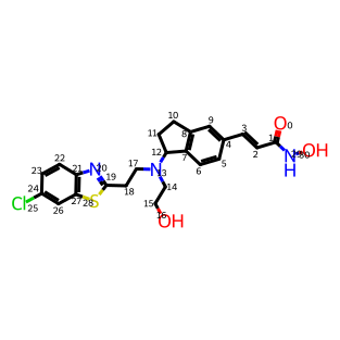 O=C(C=Cc1ccc2c(c1)CCC2N(CCO)CCc1nc2ccc(Cl)cc2s1)NO